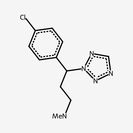 CNCCC(c1ccc(Cl)cc1)n1ncnn1